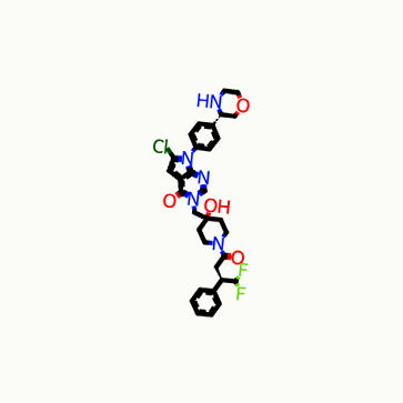 O=C(C[C@H](c1ccccc1)C(F)F)N1CCC(O)(Cn2cnc3c(cc(Cl)n3-c3ccc([C@H]4COCCN4)cc3)c2=O)CC1